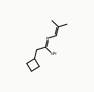 CCC/C(CC1CCC1)=N\C=C(C)C